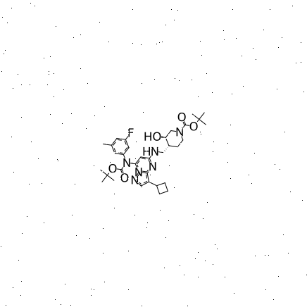 Cc1cc(F)cc(N(C(=O)OC(C)(C)C)c2cc(NC[C@H]3CCN(C(=O)OC(C)(C)C)C[C@@H]3O)nc3c(C4CCC4)cnn23)c1